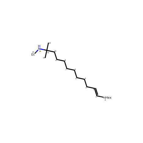 CCCCCCC=CCCCCCCCCC(C)(C)NCC